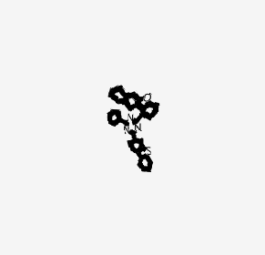 c1ccc(-c2nc(-c3ccc4c(c3)sc3ccccc34)nc(-c3cccc4oc5cc6ccccc6cc5c34)n2)cc1